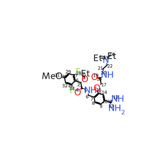 CCO[C@H](C(=O)NCc1ccc(C(=N)N)cc1OCC(=O)NCCN(CC)CC)c1c(F)cc(OC)cc1F